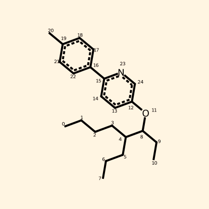 CCCCC(CCC)C(CC)Oc1ccc(-c2ccc(C)cc2)nc1